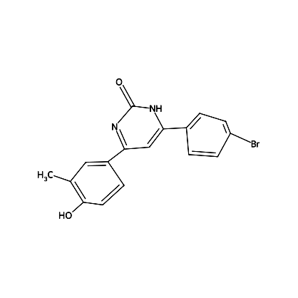 Cc1cc(-c2cc(-c3ccc(Br)cc3)[nH]c(=O)n2)ccc1O